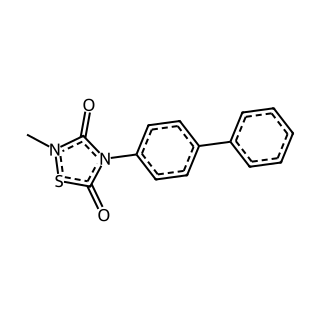 Cn1sc(=O)n(-c2ccc(-c3ccccc3)cc2)c1=O